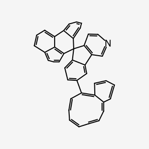 c1cccc(-c2ccc3c(c2)-c2cnccc2C32c3ccccc3-c3cccc4cccc2c34)c2ccccc2ccc1